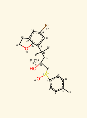 Cc1ccc([S+]([O-])C[C@@](O)(CC(C)(C)c2cc(Br)cc3c2OCC3)C(F)(F)F)cc1